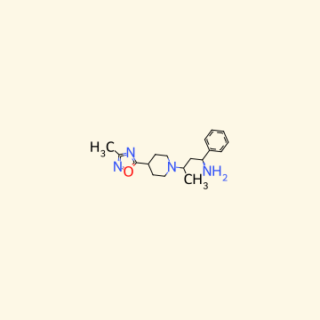 Cc1noc(C2CCN(C(C)C[C@H](N)c3ccccc3)CC2)n1